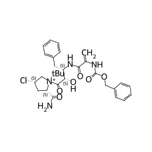 C=C(NC(=O)OCc1ccccc1)C(=O)N[C@@H](Cc1ccccc1)[C@H](O)C(=O)[N+]1(C(C)(C)C)C[C@@H](Cl)C[C@H]1C(N)=O